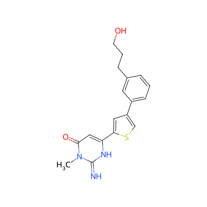 Cn1c(=O)cc(-c2cc(-c3cccc(CCCO)c3)cs2)[nH]c1=N